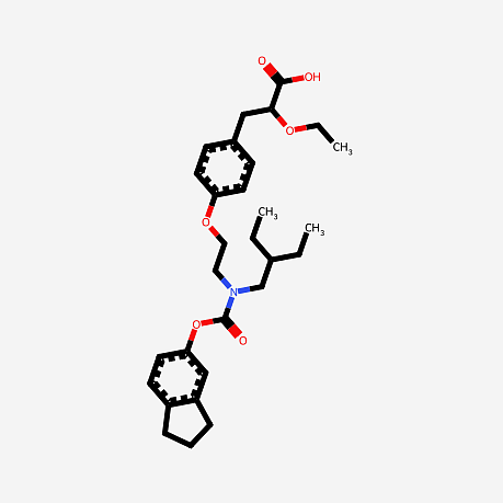 CCOC(Cc1ccc(OCCN(CC(CC)CC)C(=O)Oc2ccc3c(c2)CCC3)cc1)C(=O)O